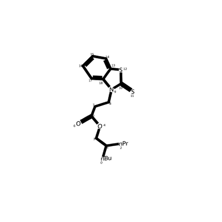 CCCCC(CCC)COC(=O)CCn1c(=S)sc2ccccc21